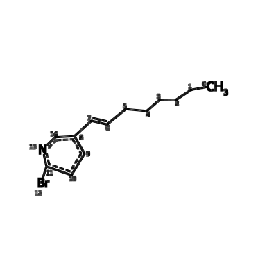 CCCCCC/C=C/c1ccc(Br)nc1